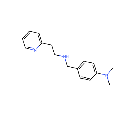 CN(C)c1ccc(CNCCc2ccccn2)cc1